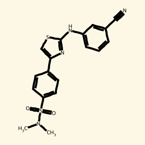 CN(C)S(=O)(=O)c1ccc(-c2csc(Nc3cccc(C#N)c3)n2)cc1